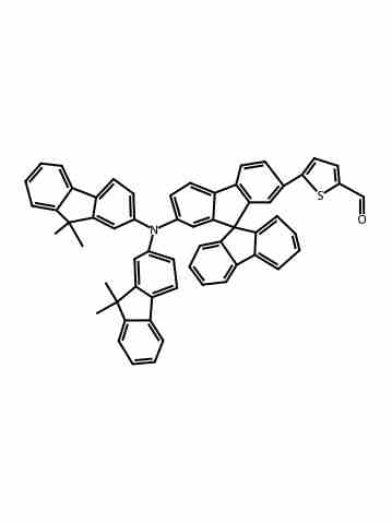 CC1(C)c2ccccc2-c2ccc(N(c3ccc4c(c3)C(C)(C)c3ccccc3-4)c3ccc4c(c3)C3(c5ccccc5-c5ccccc53)c3cc(-c5ccc(C=O)s5)ccc3-4)cc21